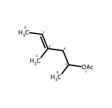 C/C=C(\C)CC(C)OC(C)=O